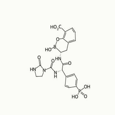 O=C(O)c1cccc2c1OB(O)[C@@H](NC(=O)[C@@H](NC(=O)N1CCNC1=O)c1ccc(P(=O)(O)O)cc1)C2